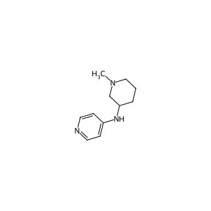 CN1CCCC(Nc2ccncc2)C1